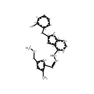 COCc1cc(C)c(/C=N\Nc2ncnc3sc(Cc4ccccc4F)cc23)s1